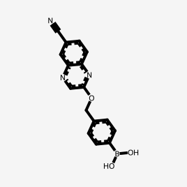 N#Cc1ccc2nc(OCc3ccc(B(O)O)cc3)cnc2c1